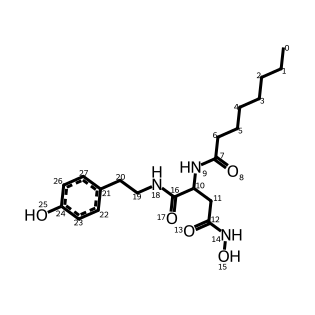 CCCCCCCC(=O)NC(CC(=O)NO)C(=O)NCCc1ccc(O)cc1